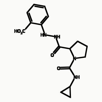 O=C(O)c1ccccc1NNC(=O)C1CCCN1C(=O)NC1CC1